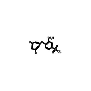 O=C(O)c1cc(S(=O)(=O)C(F)(F)F)ccc1Oc1cc(F)cc(Cl)c1